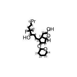 CC(C)CCC(F)(F)C(O)CCC1C2C[C@H](O)O[C@H]2C[C@H]1OC1CCCCO1